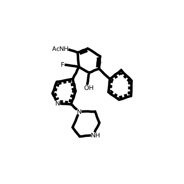 CC(=O)NC1=CC=C(c2ccccc2)C(O)C1(F)c1ccnc(N2CCNCC2)c1